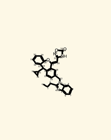 CCCc1nc2ccccc2n1Cc1ccc2c(c1)C(=Cc1noc(=O)[nH]1)Oc1ccccc1C2C1CC1